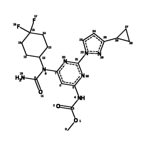 COC(=O)Nc1cc(N(C(N)=O)C2CCC(F)(F)CC2)nc(-n2ccc(C3CC3)n2)n1